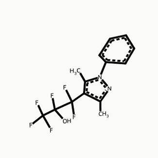 Cc1nn(-c2ccccc2)c(C)c1C(F)(F)C(O)(F)C(F)(F)F